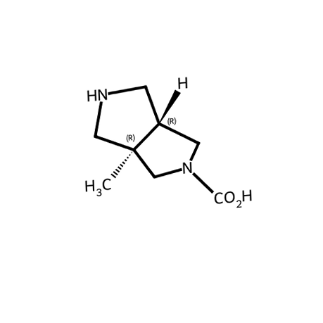 C[C@]12CNC[C@@H]1CN(C(=O)O)C2